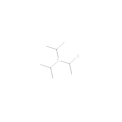 CC(C)N(C(C)C)[CH](C)[Ti]